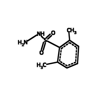 Cc1cccc(C)c1S(=O)(=O)NN